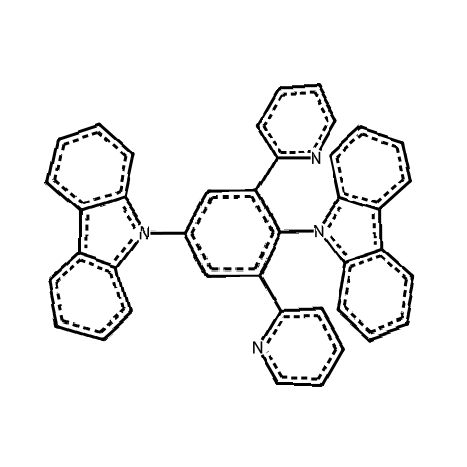 c1ccc(-c2cc(-n3c4ccccc4c4ccccc43)cc(-c3ccccn3)c2-n2c3ccccc3c3ccccc32)nc1